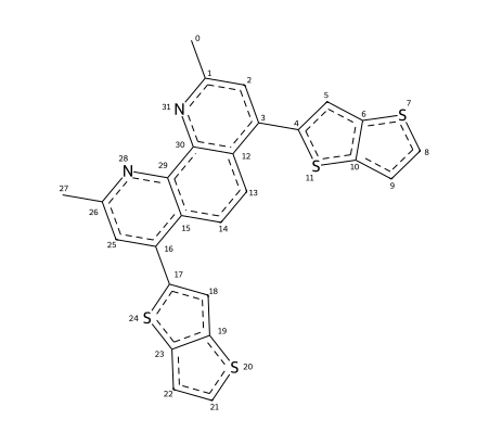 Cc1cc(-c2cc3sccc3s2)c2ccc3c(-c4cc5sccc5s4)cc(C)nc3c2n1